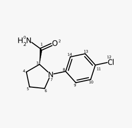 NC(=O)[C@@H]1CCCN1c1ccc(Cl)cc1